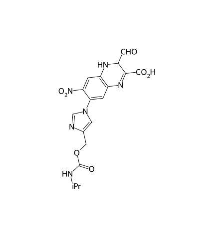 CC(C)NC(=O)OCc1cn(-c2cc3c(cc2[N+](=O)[O-])NC(C=O)C(C(=O)O)=N3)cn1